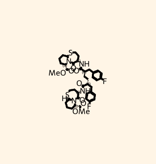 COC(=O)[C@@H]1CCCC2SCC[C@H](NC(=O)[C@H](CC[C@H](Cc3ccc(F)cc3)C(=O)N[C@H]3CCS[C@H]4CCC[C@@H](C(=O)OC)N4C3=O)Cc3ccc(F)cc3)C(=O)N21